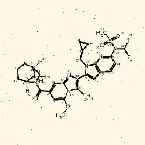 COc1cc(C(=O)N2C[C@@H]3CCC[C@H]2[C@H]3N)cc2nc(-c3cc4ccc(N(C(F)F)S(C)(=O)=O)nc4n3CC3CC3)c(C)n12